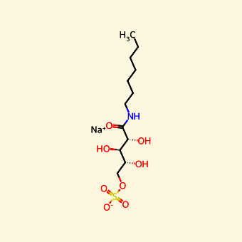 CCCCCCCNC(=O)[C@H](O)[C@H](O)[C@H](O)COS(=O)(=O)[O-].[Na+]